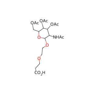 CC(=O)NC1C(OCCOCCC(=O)O)OC(COC(C)=O)C(OC(C)=O)C1OC(C)=O